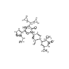 Cc1cc(-c2ccc(NC(=O)[C@@H](NC(=O)c3ccnn3CC(C)C)C(C3CC3)C3CC3)nc2F)c(C)[n+]([O-])c1